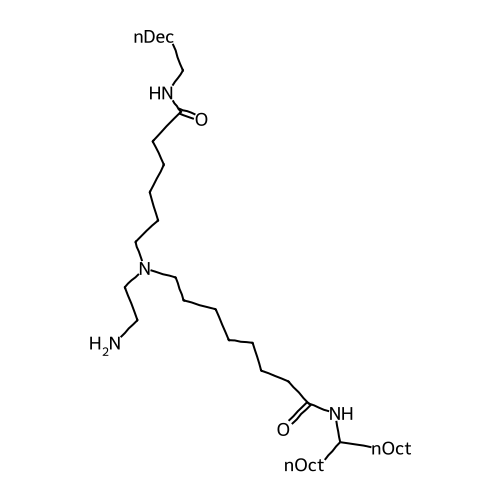 CCCCCCCCCCCNC(=O)CCCCCN(CCN)CCCCCCCC(=O)NC(CCCCCCCC)CCCCCCCC